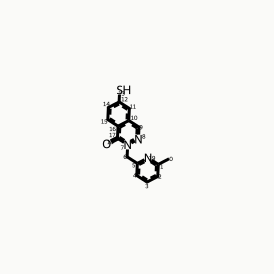 Cc1cccc(Cn2ncc3cc(S)ccc3c2=O)n1